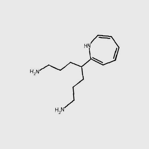 NCCCC(CCCN)C1=CC=CC=CN1